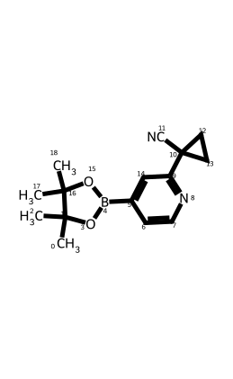 CC1(C)OB(c2ccnc(C3(C#N)CC3)c2)OC1(C)C